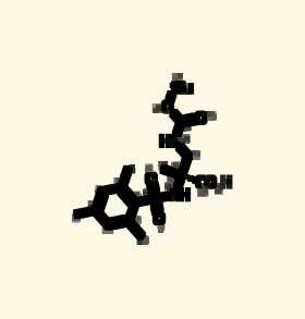 Cc1cc(C)c(S(=O)(=O)N[C@@](C)(CNC(=O)OC(C)(C)C)C(=O)O)c(C)c1